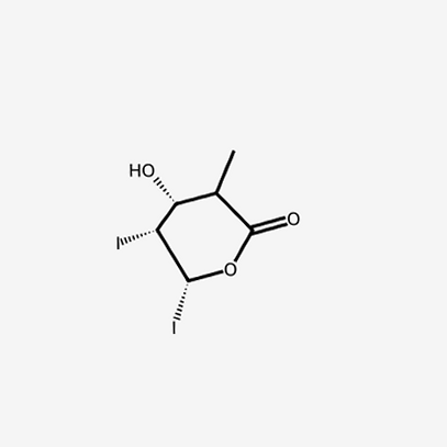 CC1C(=O)O[C@H](I)[C@H](I)[C@@H]1O